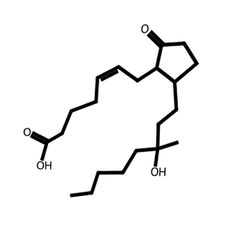 CCCCCC(C)(O)CCC1CCC(=O)C1C/C=C\CCCC(=O)O